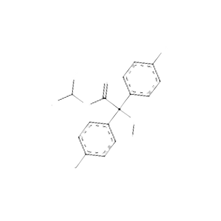 CC(C)OC(=O)C(OO)(c1ccc(Cl)cc1)c1ccc(Cl)cc1